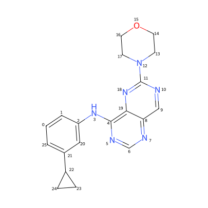 c1cc(Nc2ncnc3cnc(N4CCOCC4)nc23)cc(C2CC2)c1